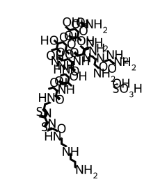 Cc1c(N)nc(C(CC(N)=O)NCC(N)C(N)=O)nc1C(=O)NC(C(=O)NC(C)C(O)C(C)C(=O)NC(C(=O)NCCc1nc(-c2nc(C(=O)NCCCNCCCCN)cs2)cs1)C(C)O)C(OC1OC(CO)C(O)C(O)C1OC1OC(CO)C(O)C(OC(N)=O)C1O)c1cnc[nH]1.O=S(=O)(O)O